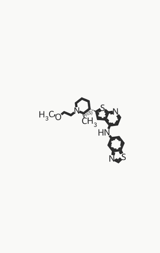 COCCN1CCC[C@H](c2cc3c(Nc4ccc5scnc5c4)ccnc3s2)[C@@H]1C